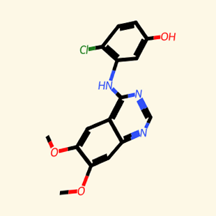 COc1cc2ncnc(Nc3cc(O)ccc3Cl)c2cc1OC